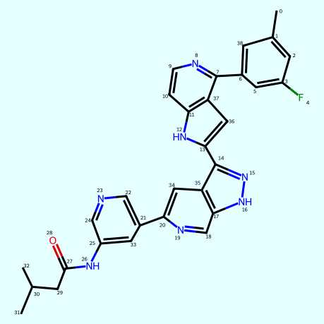 Cc1cc(F)cc(-c2nccc3[nH]c(-c4n[nH]c5cnc(-c6cncc(NC(=O)CC(C)C)c6)cc45)cc23)c1